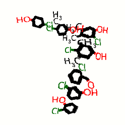 Cc1cc(O)c(Cl)cc1C.Cc1cc(O)cc(C)c1Cl.Cc1cc(O)ccc1Cl.O=Cc1ccccc1Cl.Oc1ccc(Cl)cc1.Oc1cccc(Cl)c1.Oc1ccccc1Cl